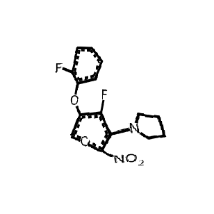 O=[N+]([O-])c1ccc(Oc2ccccc2F)c(F)c1N1CCCC1